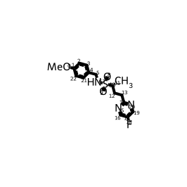 COc1ccc(CNS(=O)(=O)[C@H](C)CCc2ncc(F)cn2)cc1